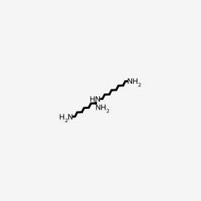 NCCCCCCCCNC(N)CCCCCCN